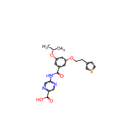 CC(C)Oc1cc(OCCc2ccsc2)cc(C(=O)Nc2cnc(C(=O)O)cn2)c1